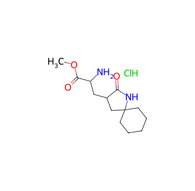 COC(=O)C(N)CC1CC2(CCCCC2)NC1=O.Cl